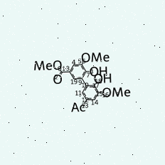 COC(=O)c1cc(OC)c(O)c(-c2cc(C(C)=O)cc(OC)c2O)c1